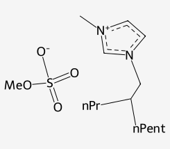 CCCCCC(CCC)Cn1cc[n+](C)c1.COS(=O)(=O)[O-]